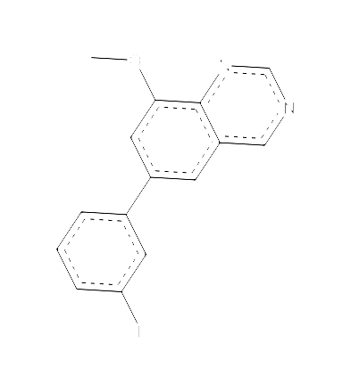 COc1cc(-c2cccc(F)c2)cc2cncnc12